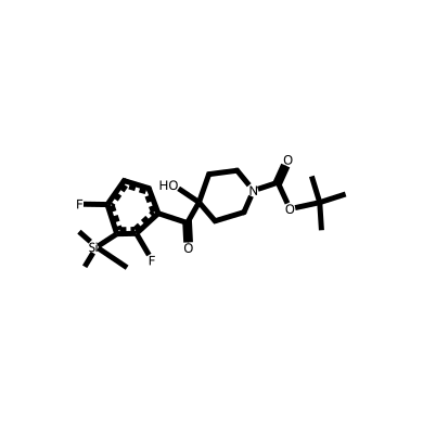 CC(C)(C)OC(=O)N1CCC(O)(C(=O)c2ccc(F)c([Si](C)(C)C)c2F)CC1